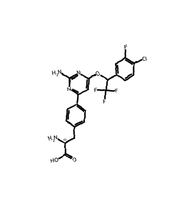 Nc1nc(OC(c2ccc(Cl)c(F)c2)C(F)(F)F)cc(-c2ccc(C[C@H](N)C(=O)O)cc2)n1